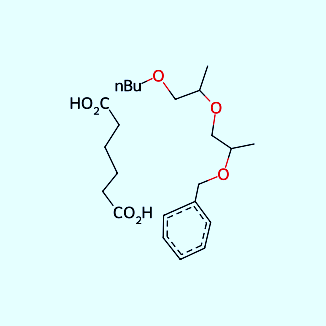 CCCCOCC(C)OCC(C)OCc1ccccc1.O=C(O)CCCCC(=O)O